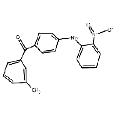 Cc1cccc(C(=O)c2ccc(Nc3ccccc3[N+](=O)[O-])cc2)c1